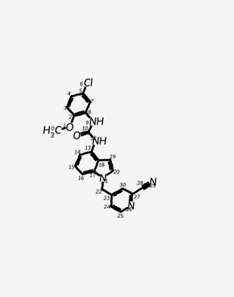 COc1ccc(Cl)cc1NC(=O)Nc1cccc2c1ccn2Cc1ccnc(C#N)c1